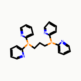 c1ccc(P(CCCP(c2ccccn2)c2ccccn2)c2ccccn2)nc1